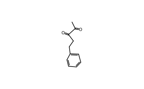 CC(=O)C(=O)CCc1ccccc1